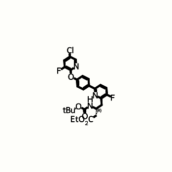 CCOC(=O)C[C@@H](Cc1nc(-c2ccc(Oc3ncc(Cl)cc3F)cc2)ccc1F)NC(=O)OC(C)(C)C